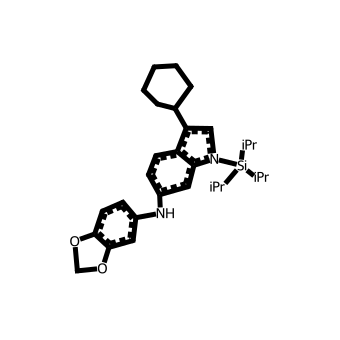 CC(C)[Si](C(C)C)(C(C)C)n1cc(C2CCCCC2)c2ccc(Nc3ccc4c(c3)OCO4)cc21